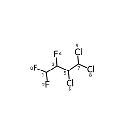 FC(F)C(F)C(Cl)C(Cl)Cl